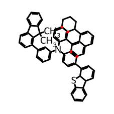 CC1(C)c2ccccc2-c2cccc(-c3cccc(N(c4ccc(C5=CC=CC6c7ccccc7SC56)cc4)c4ccccc4-c4cccc5cccc(C6CCCCC6)c45)c3)c21